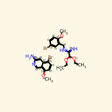 CCOC(OCC)C(=N)NCc1cc(Br)ccc1OC.COc1ccc(Br)c2cc(N)ncc12